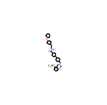 O=C(O)CN(Cc1ccc(-c2ccc(C(=O)NCCc3ccc(Oc4ccccc4)cc3)cc2)cc1)Cc1ccccc1OC(F)(F)F